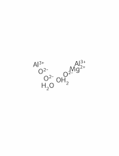 O.O.[Al+3].[Al+3].[Mg+2].[O-2].[O-2].[O-2]